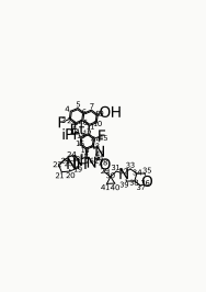 CCc1c(F)ccc2cc(O)cc(-c3c(C(C)C)cc4c(N5CC6CCC(C5)N6)nc(OCC5(CN6CC7COCC7C6)CC5)nc4c3F)c12